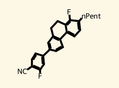 CCCCCc1ccc2c(c1F)CCc1cc(-c3ccc(C#N)c(F)c3)ccc1-2